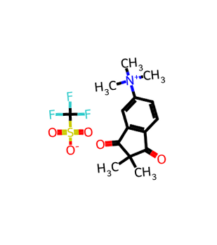 CC1(C)C(=O)c2ccc([N+](C)(C)C)cc2C1=O.O=S(=O)([O-])C(F)(F)F